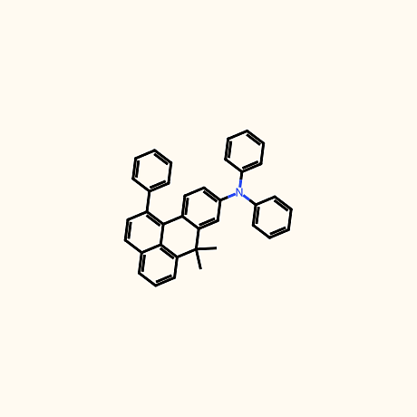 CC1(C)c2cc(N(c3ccccc3)c3ccccc3)ccc2-c2c(-c3ccccc3)ccc3cccc1c23